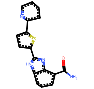 NC(=O)c1cccc2[nH]c(-c3ccc(-c4ccccn4)s3)nc12